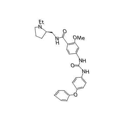 CCN1CCC[C@@H]1CNC(=O)c1ccc(NC(=O)Nc2ccc(Oc3ccccc3)cc2)cc1OC